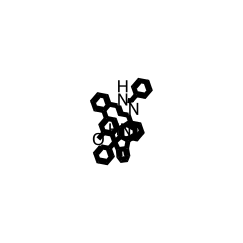 C1=CCNC(C2=NC(c3ccccc3)NC(c3ccccc3-c3ccc4c(c3)Oc3ccccc3C43c4ccccc4-c4ccccc43)=C2)=C1